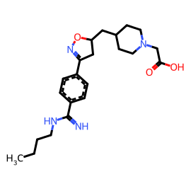 CCCCNC(=N)c1ccc(C2=NOC(CC3CCN(CC(=O)O)CC3)C2)cc1